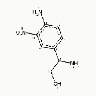 Nc1ccc(C(N)CO)cc1[N+](=O)[O-]